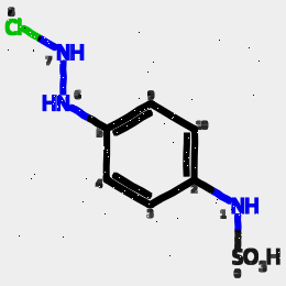 O=S(=O)(O)Nc1ccc(NNCl)cc1